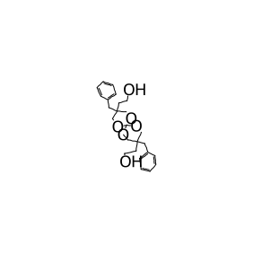 OCCC1(Cc2ccccc2)COC2(OC1)OCC(CCO)(Cc1ccccc1)CO2